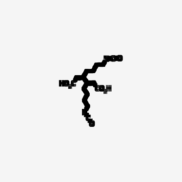 O=C=NCCCCC(=CC(=O)O)C(=CC(=O)O)CCCCN=C=O